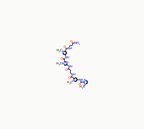 Cn1cc(NC(=O)c2nc(NC(=O)CCNC(=O)c3cc(NC(=O)c4nccn4C)cn3C)cn2C)cc1C(=O)NCCC(N)=O